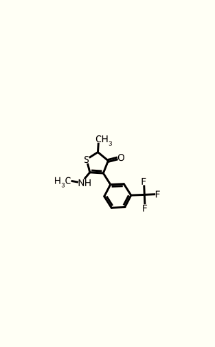 CNC1=C(c2cccc(C(F)(F)F)c2)C(=O)C(C)S1